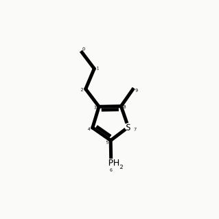 CCCc1cc(P)sc1C